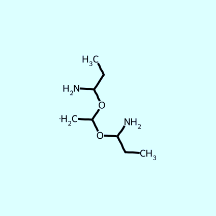 [CH2]C(OC(N)CC)OC(N)CC